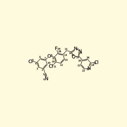 N#Cc1cc(Cl)cc(Oc2c(Cl)ccc(Cc3nnc(-c4ccnc(Cl)c4)o3)c2F)c1